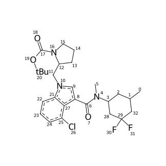 CC1CC(N(C)C(=O)c2cn(CC3CCCN3C(=O)OC(C)(C)C)c3cccc(Cl)c23)CC(F)(F)C1